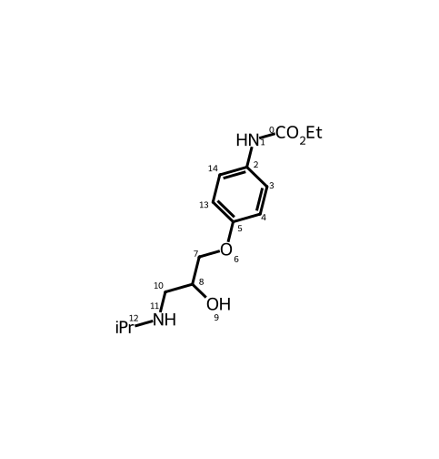 CCOC(=O)Nc1ccc(OCC(O)CNC(C)C)cc1